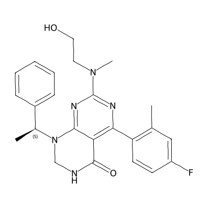 Cc1cc(F)ccc1-c1nc(N(C)CCO)nc2c1C(=O)NCN2[C@@H](C)c1ccccc1